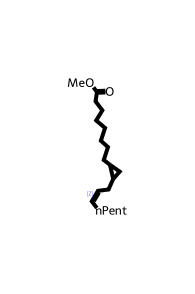 CCCCC/C=C\CC1CC1CCCCCCCC(=O)OC